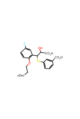 CCCCCCCCCCCCOc1ccc(F)cc1C(Sc1cccc(C(=O)O)c1)C(O)C(=O)O